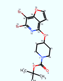 CC(C)(C)OC(=O)N1CCC(Oc2nc(Br)c(Br)c3occc23)CC1